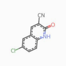 N#Cc1cc2cc(Cl)ccc2[nH]c1=O